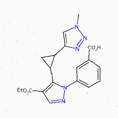 CCOC(=O)c1cnn(-c2cccc(C(=O)O)c2)c1C1CC1c1cn(C)nn1